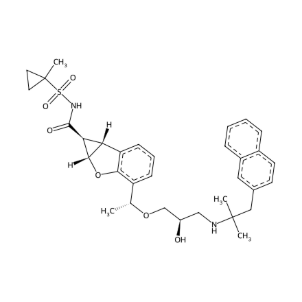 C[C@@H](OC[C@H](O)CNC(C)(C)Cc1ccc2ccccc2c1)c1cccc2c1O[C@@H]1[C@@H](C(=O)NS(=O)(=O)C3(C)CC3)[C@H]21